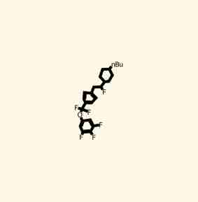 CCCCC1CCC(C(F)Cc2ccc(C(F)(F)Oc3cc(F)c(F)c(F)c3)cc2)CC1